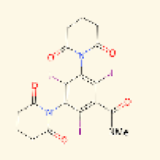 CNC(=O)c1c(I)c(N2C(=O)CCCC2=O)c(I)c(N2C(=O)CCCC2=O)c1I